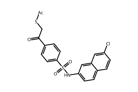 CC(=O)SCC(=O)c1ccc(S(=O)(=O)Nc2ccc3ccc(Cl)cc3c2)cc1